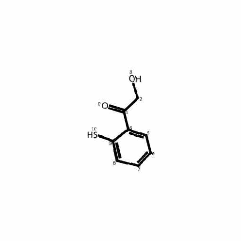 O=C(CO)c1ccccc1S